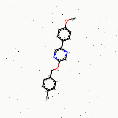 CCCOc1ccc(-c2cnc(OCc3ccc(CC)cc3)cn2)cc1